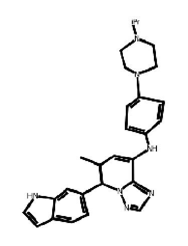 CC1C=C(Nc2ccc(N3CCN(C(C)C)CC3)cc2)c2ncnn2C1c1ccc2cc[nH]c2c1